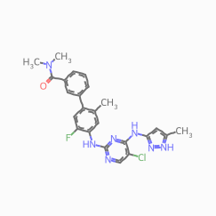 Cc1cc(Nc2nc(Nc3cc(C)c(-c4cccc(C(=O)N(C)C)c4)cc3F)ncc2Cl)n[nH]1